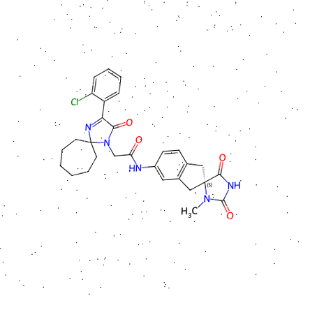 CN1C(=O)NC(=O)[C@@]12Cc1ccc(NC(=O)CN3C(=O)C(c4ccccc4Cl)=NC34CCCCCC4)cc1C2